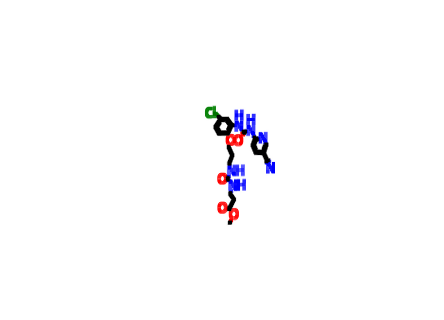 COC(=O)CCNC(=O)NCCCOc1ccc(Cl)cc1NC(=O)Nc1ccc(C#N)cn1